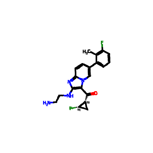 Cc1c(F)cccc1-c1ccc2nc(NCCN)c(C(=O)[C@@H]3C[C@@H]3F)n2c1